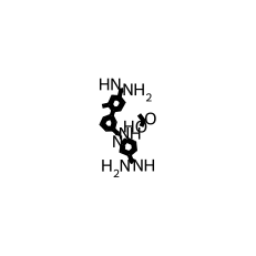 CC(=O)O.Cc1cc(C(=N)N)ccc1-c1cccc(-c2nc3cc(C(=N)N)ccc3[nH]2)c1